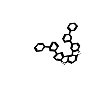 C1=CCC(c2cccc(-c3ccc4sc5ccc6sc7ccc(C8=CC=CC(C9=CCCC=C9)C8)cc7c6c5c4c3)c2)C=C1